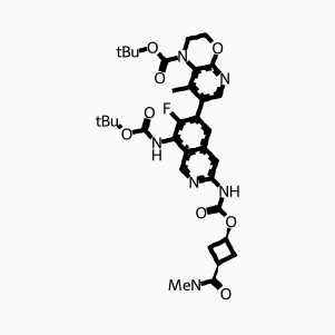 CNC(=O)[C@H]1C[C@@H](OC(=O)Nc2cc3cc(-c4cnc5c(c4C)N(C(=O)OC(C)(C)C)CCO5)c(F)c(NC(=O)OC(C)(C)C)c3cn2)C1